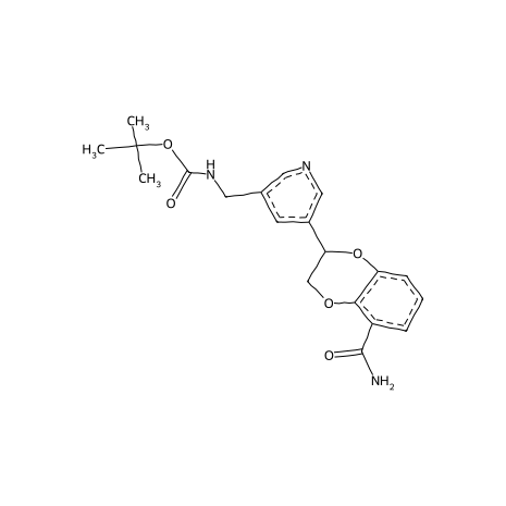 CC(C)(C)OC(=O)NCc1cncc(C2COc3c(cccc3C(N)=O)O2)c1